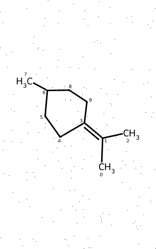 CC(C)=C1CCC(C)CC1